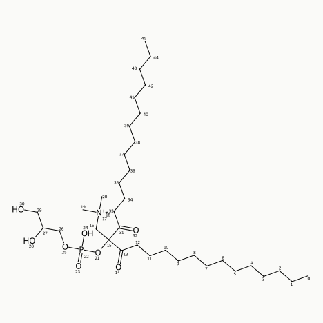 CCCCCCCCCCCCCC(=O)C(C[N+](C)(C)C)(OP(=O)(O)OCC(O)CO)C(=O)CCCCCCCCCCCCC